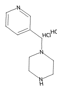 Cl.Cl.c1cncc(CN2CCNCC2)c1